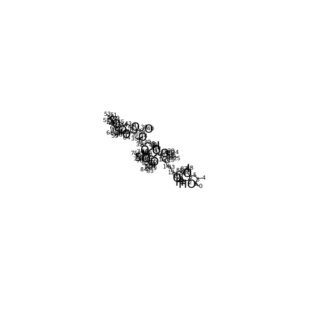 C=C(O)[C@H](C)CC1CC[C@@H]2OC(CCC/C=C/[C@H](O[Si](C)(C)C(C)(C)C)[C@@H]3O[C@H]4CCC(CC(=O)C[C@H]5C(CC=O)O[C@H](CC(CO[Si](C)(C)C(C)(C)C)O[Si](C)(C)C(C)(C)C)[C@@H]5OC)O[C@@H]4C(O[Si](C)(C)C(C)(C)C)C3O[Si](C)(C)C(C)(C)C)CC2(CI)O1